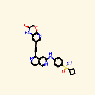 N=S(=O)(c1ccc(Nc2cc3c(C#Cc4cnc5c(c4)NC(=O)CO5)nccc3cn2)cc1)C1CCC1